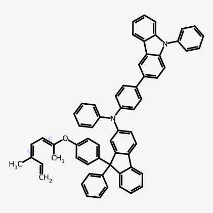 C=C/C(C)=C\C=C(/C)Oc1ccc(C2(c3ccccc3)c3ccccc3-c3ccc(N(c4ccccc4)c4ccc(-c5ccc6c(c5)c5ccccc5n6-c5ccccc5)cc4)cc32)cc1